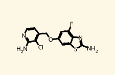 Nc1nc2c(F)cc(OCc3ccnc(N)c3Cl)cc2s1